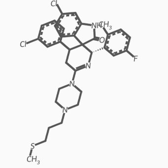 CSCCCN1CCN(C2=N[C@@H](c3cc(F)ccc3C)C3(C(=O)Nc4cc(Cl)ccc43)C(c3cccc(Cl)c3)C2)CC1